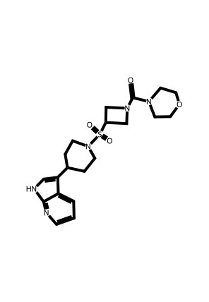 O=C(N1CCOCC1)N1CC(S(=O)(=O)N2CCC(c3c[nH]c4ncccc34)CC2)C1